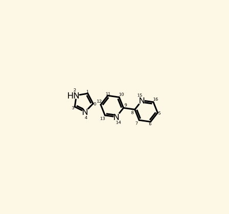 c1c[nH]cn1.c1ccc(-c2ccccn2)nc1